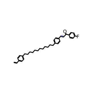 C=Cc1ccc(CCCCCCCCCCCCc2ccc(/C=C/C(=O)c3ccc(F)cc3)cc2)cc1